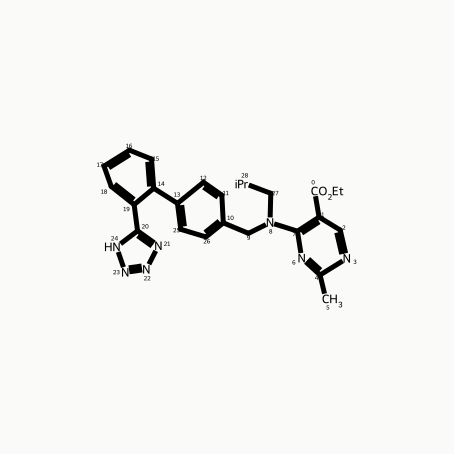 CCOC(=O)c1cnc(C)nc1N(Cc1ccc(-c2ccccc2-c2nnn[nH]2)cc1)CC(C)C